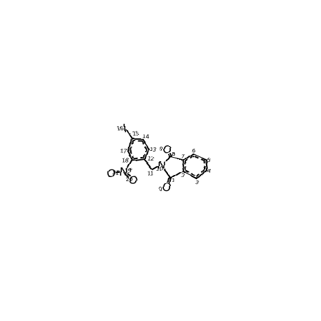 O=C1c2ccccc2C(=O)N1Cc1ccc(I)cc1[N+](=O)[O-]